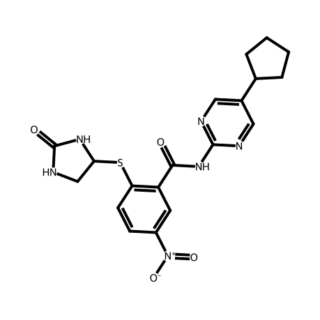 O=C1NCC(Sc2ccc([N+](=O)[O-])cc2C(=O)Nc2ncc(C3CCCC3)cn2)N1